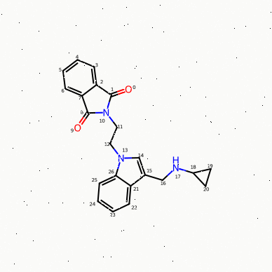 O=C1c2ccccc2C(=O)N1CCn1cc(CNC2CC2)c2ccccc21